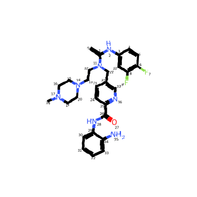 C=C(Nc1ccc(F)c(F)c1)N(CCN1CCN(C)CC1)Cc1ccc(C(=O)Nc2ccccc2N)nc1